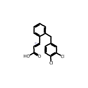 O=C(O)/C=C/c1ccccc1Cc1ccc(Cl)c(Cl)c1